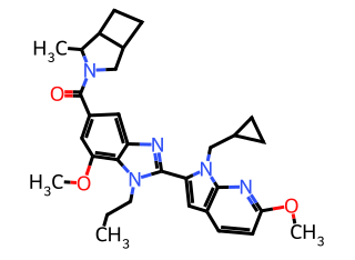 CCCn1c(-c2cc3ccc(OC)nc3n2CC2CC2)nc2cc(C(=O)N3CC4CCC4C3C)cc(OC)c21